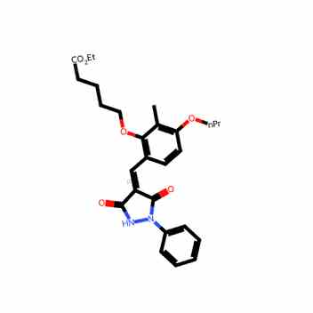 CCCOc1ccc(/C=C2/C(=O)NN(c3ccccc3)C2=O)c(OCCCCC(=O)OCC)c1C